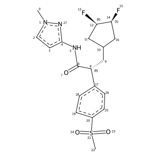 Cn1ccc(NC(=O)[C@H](CC2C[C@@H](F)[C@@H](F)C2)c2ccc(S(C)(=O)=O)cc2)n1